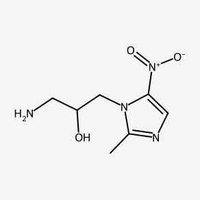 Cc1ncc([N+](=O)[O-])n1CC(O)CN